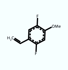 C=Cc1cc(F)c(OC)cc1F